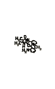 Cc1cccc(N)c1C(=O)N1CCCCC1c1cc2[nH]c(C)c(C)c(=O)n2n1